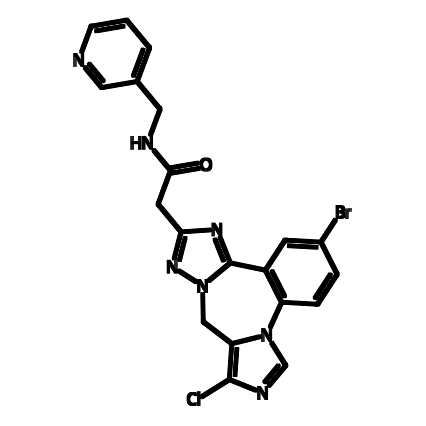 O=C(Cc1nc2n(n1)Cc1c(Cl)ncn1-c1ccc(Br)cc1-2)NCc1cccnc1